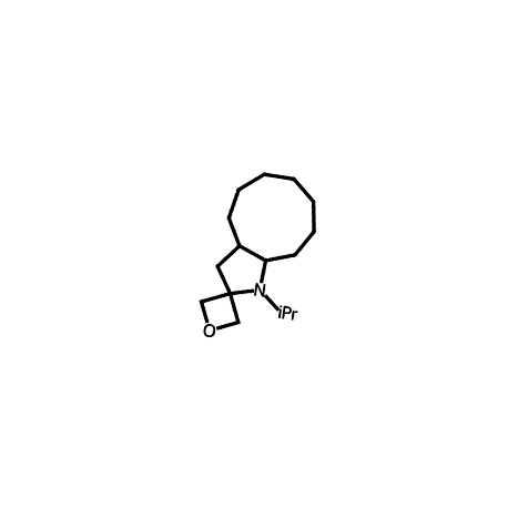 CC(C)N1C2CCCCCCCC2CC12COC2